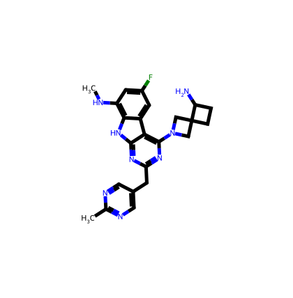 CNc1cc(F)cc2c1[nH]c1nc(Cc3cnc(C)nc3)nc(N3CC4(CCC4N)C3)c12